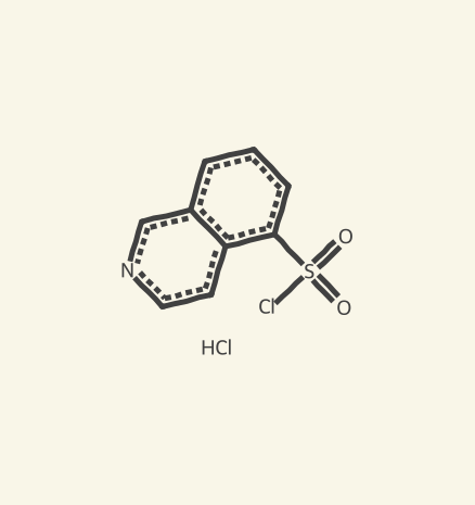 Cl.O=S(=O)(Cl)c1cccc2cnccc12